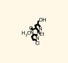 CCN1c2ncc(CO)cc2C(=O)N(C)c2ccc(Cl)nc21